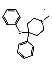 CN1CCC(Oc2ccccc2)(c2ccccc2)CC1